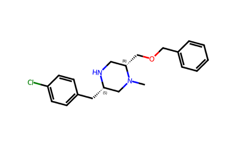 CN1C[C@H](Cc2ccc(Cl)cc2)NC[C@@H]1COCc1ccccc1